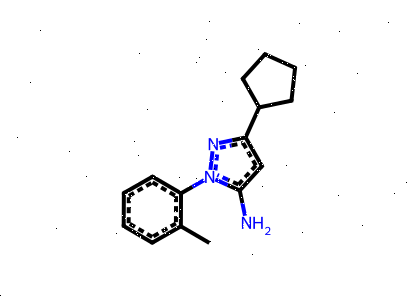 Cc1ccccc1-n1nc(C2CCCC2)cc1N